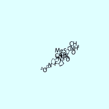 CSc1cc(C)[nH]c(=O)c1CNC(=O)c1c(C)n([C@H](C)C2CCC(N3CC(OC4CC4)C3)CC2)c2c(F)cccc12